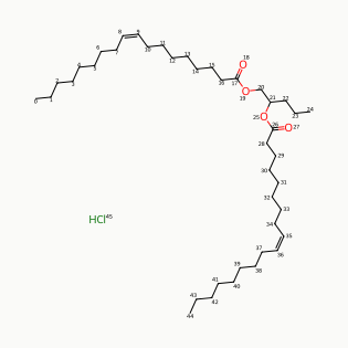 CCCCCCCC/C=C\CCCCCCCC(=O)OCC(CCC)OC(=O)CCCCCCC/C=C\CCCCCCCC.Cl